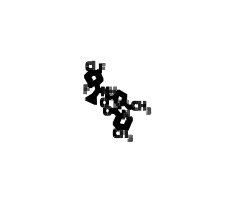 CC[C@@H]1CC[C@H](C(=O)NC(c2cc(F)c(Cl)cc2F)C2CC2)N1C(=O)c1cc(C)ccn1